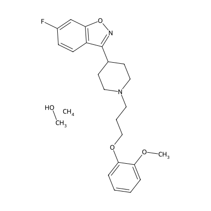 C.CO.COc1ccccc1OCCCN1CCC(c2noc3cc(F)ccc23)CC1